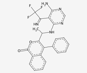 CC(Nc1ncnc(N)c1C(=N)C(F)(F)F)c1oc(=O)c2ccccc2c1-c1ccccc1